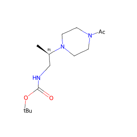 CC(=O)N1CCN([C@H](C)CNC(=O)OC(C)(C)C)CC1